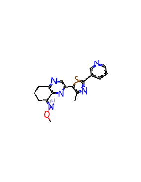 CO/N=C1\CCCc2ncc(-c3sc(-c4cccnc4)nc3C)nc21